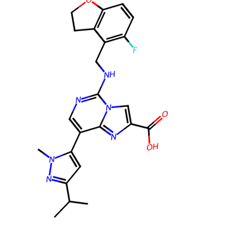 CC(C)c1cc(-c2cnc(NCc3c(F)ccc4c3CCO4)n3cc(C(=O)O)nc23)n(C)n1